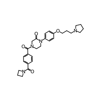 O=C(c1ccc(C(=O)N2CCN(c3ccc(OCCCN4CCCC4)cc3)C(=O)C2)cc1)N1CCC1